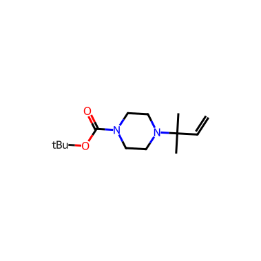 C=CC(C)(C)N1CCN(C(=O)OC(C)(C)C)CC1